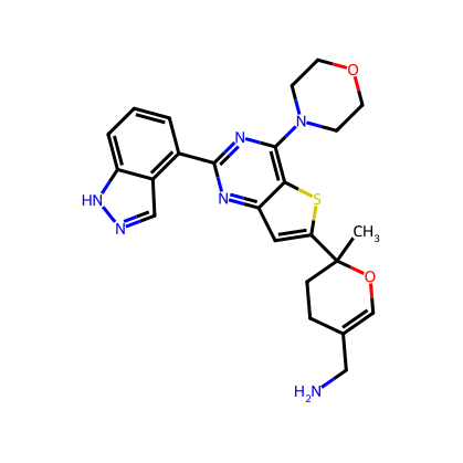 CC1(c2cc3nc(-c4cccc5[nH]ncc45)nc(N4CCOCC4)c3s2)CCC(CN)=CO1